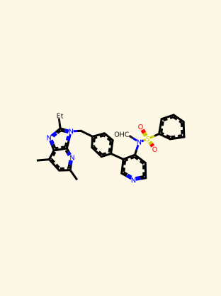 CCc1nc2c(C)cc(C)nc2n1Cc1ccc(-c2cnccc2N(C=O)S(=O)(=O)c2ccccc2)cc1